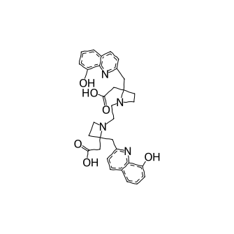 O=C(O)CC1(Cc2ccc3cccc(O)c3n2)CCN1CCN1CCC1(CC(=O)O)Cc1ccc2cccc(O)c2n1